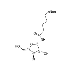 CCCCCCCCCCCCCC(=O)N[C@H]1O[C@H](CO)[C@H](O)[C@H]1O